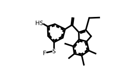 C=C(C1=C(CC)Cc2c(C)c(C)c(C)c(C)c21)c1cc(S)cc(SF)c1